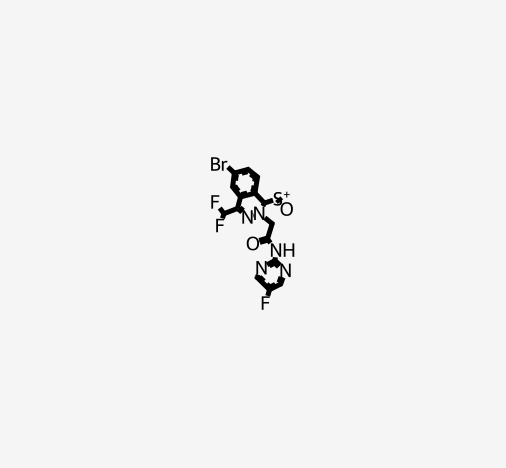 O=[S+]C1c2ccc(Br)cc2C(C(F)F)=NN1CC(=O)Nc1ncc(F)cn1